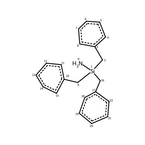 N[Si](Cc1ccccc1)(Cc1ccccc1)Cc1ccccc1